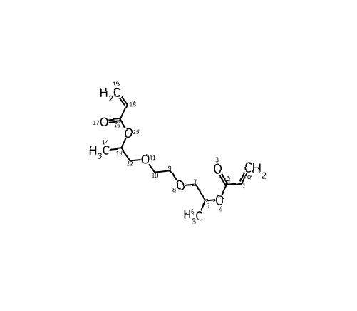 C=CC(=O)OC(C)COCCOCC(C)OC(=O)C=C